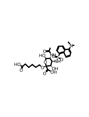 CC(=O)N[C@@H]1[C@@H](NS(=O)(=O)c2cccc3c(N(C)C)cccc23)[C@H](O)[C@](OCCCCCC(=O)O)(C(=O)O)O[C@H]1O